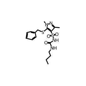 CCCCNC(=O)NS(=O)(=O)c1c(C)nn(C)c1SCc1ccccc1